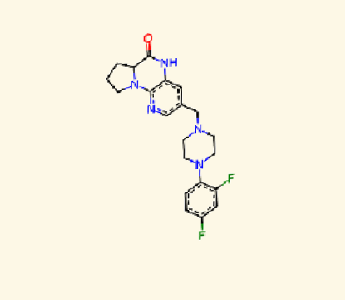 O=C1Nc2cc(CN3CCN(c4ccc(F)cc4F)CC3)cnc2N2CCCC12